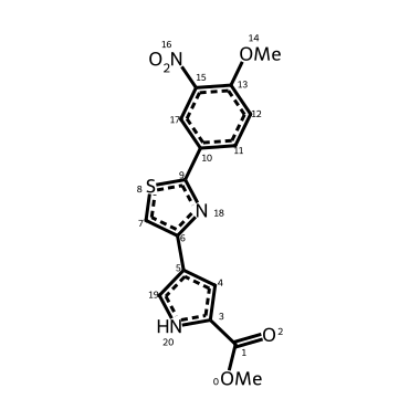 COC(=O)c1cc(-c2csc(-c3ccc(OC)c([N+](=O)[O-])c3)n2)c[nH]1